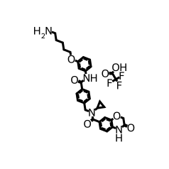 NCCCCCOc1cccc(NC(=O)c2ccc(CN(C(=O)c3ccc4c(c3)OCC(=O)N4)C3CC3)cc2)c1.O=C(O)C(F)(F)F